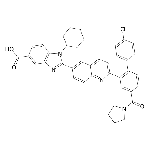 O=C(O)c1ccc2c(c1)nc(-c1ccc3nc(-c4cc(C(=O)N5CCCC5)ccc4-c4ccc(Cl)cc4)ccc3c1)n2C1CCCCC1